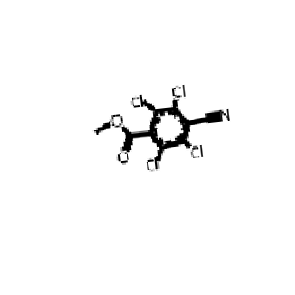 COC(=O)c1c(Cl)c(Cl)c(C#N)c(Cl)c1Cl